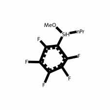 CCC[SiH](OC)c1c(F)c(F)c(F)c(F)c1F